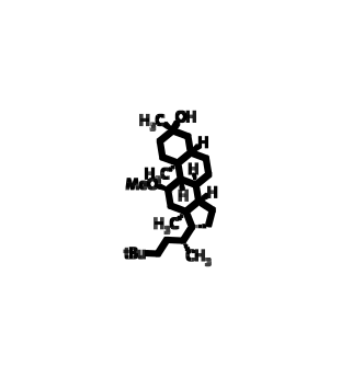 CO[C@@H]1C[C@]2(C)[C@@H]([C@H](C)CCC(C)(C)C)CC[C@H]2[C@@H]2CC[C@H]3C[C@@](C)(O)CC[C@]3(C)[C@H]21